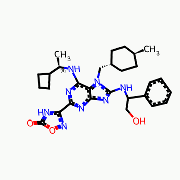 C[C@@H](Nc1nc(-c2noc(=O)[nH]2)nc2nc(NC(CO)c3ccccc3)n(C[C@H]3CC[C@H](C)CC3)c12)C1CCC1